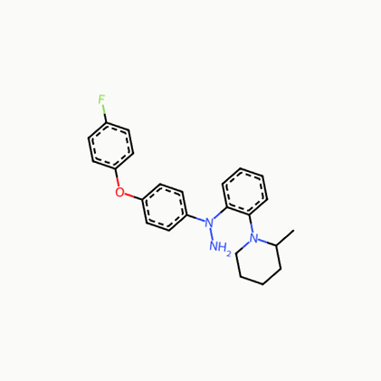 CC1CCCCN1c1ccccc1N(N)c1ccc(Oc2ccc(F)cc2)cc1